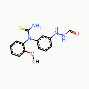 COc1ccccc1N(C(N)=S)c1cccc(NNC=O)c1